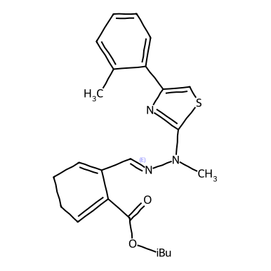 CCC(C)OC(=O)C1=CCCC=C1/C=N/N(C)c1nc(-c2ccccc2C)cs1